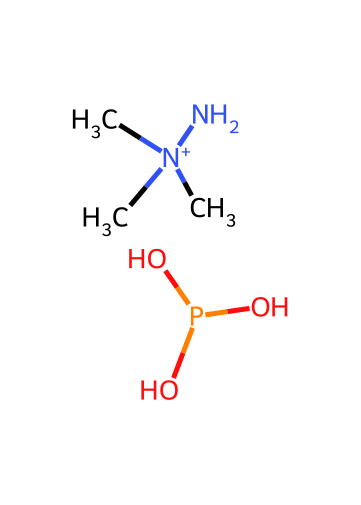 C[N+](C)(C)N.OP(O)O